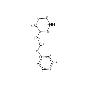 c1ccc(COPC2CNCCO2)cc1